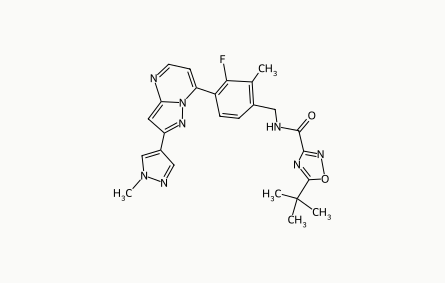 Cc1c(CNC(=O)c2noc(C(C)(C)C)n2)ccc(-c2ccnc3cc(-c4cnn(C)c4)nn23)c1F